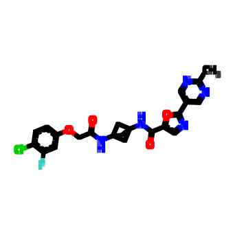 Cc1ncc(-c2ncc(C(=O)NC34CC(NC(=O)COc5ccc(Cl)c(F)c5)(C3)C4)o2)cn1